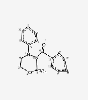 O=C1OCCN(c2ccccc2)N1C(=O)c1ccccc1